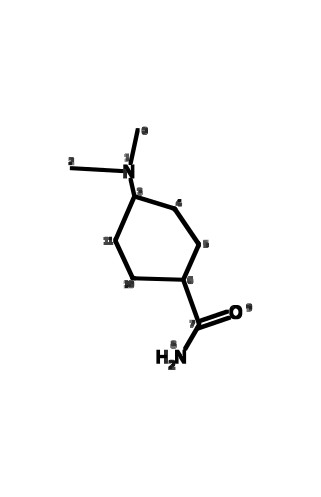 CN(C)C1CCC(C(N)=O)CC1